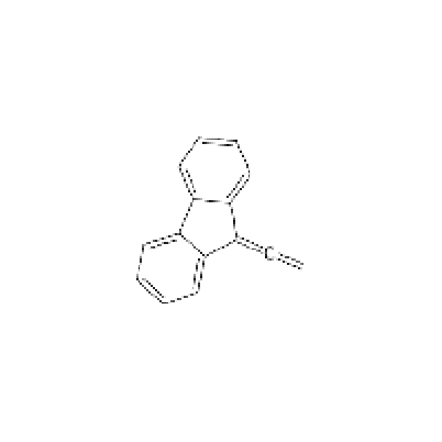 C=C=C1c2ccccc2-c2ccccc21